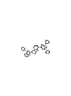 c1ccc(-c2nc(-c3ccccc3)nc(-c3cccc4c3sc3ccc(-c5nc(-c6ccccc6)c6ccccc6n5)cc34)n2)cc1